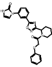 O=C(COc1ccccc1)N1CCCCC1c1noc(-c2cccc(-n3cc[nH]c3=O)c2)n1